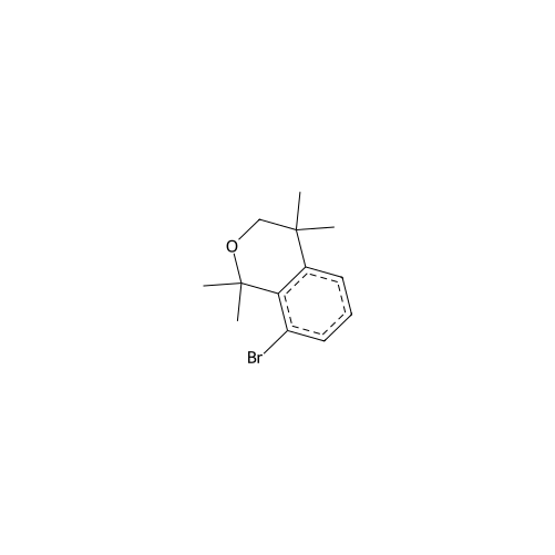 CC1(C)COC(C)(C)c2c(Br)cccc21